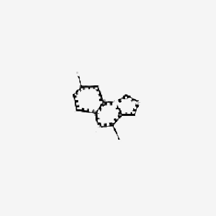 Clc1nc2ccc(Br)cc2n2cncc12